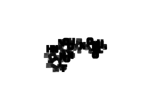 CS(=N)(=O)CC(=O)N1CC(Oc2nonc2/C(=N\O)N[C@H]2Cc3ccc(F)cc32)C1